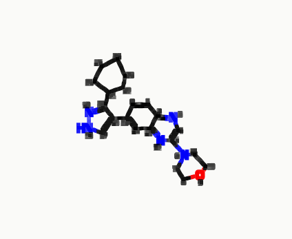 c1cc2ncc(N3CCOCC3)nc2cc1-c1c[nH]nc1C1CCCCC1